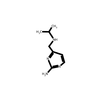 CC(C)NCc1ccnc(N)n1